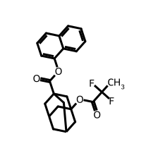 CC(F)(F)C(=O)OC12CC3CC(C1)CC(C(=O)Oc1cccc4ccccc14)(C3)C2